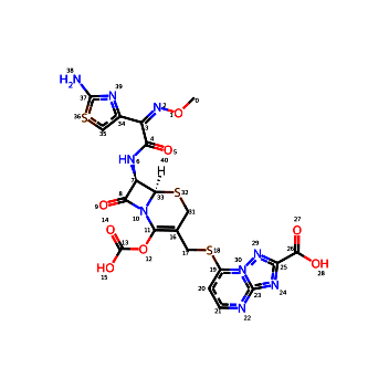 CO/N=C(\C(=O)N[C@@H]1C(=O)N2C(OC(=O)O)=C(CSc3ccnc4nc(C(=O)O)nn34)CS[C@H]12)c1csc(N)n1